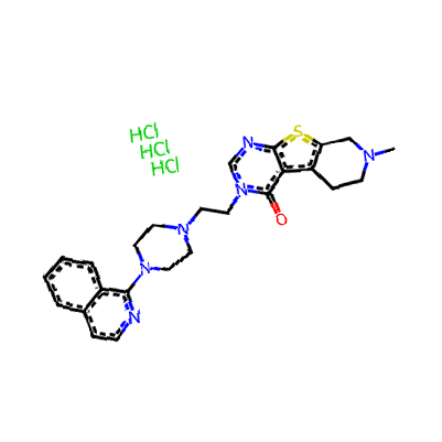 CN1CCc2c(sc3ncn(CCN4CCN(c5nccc6ccccc56)CC4)c(=O)c23)C1.Cl.Cl.Cl